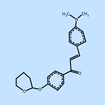 CN(C)c1ccc(C=CC(=O)c2ccc(OC3CCCCO3)cc2)cc1